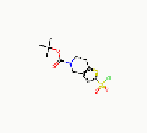 CC(C)(C)OC(=O)N1CCc2sc(S(=O)(=O)Cl)cc2C1